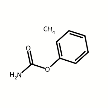 C.NC(=O)Oc1ccccc1